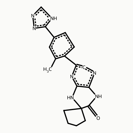 Cc1cc(-c2nnc[nH]2)ccc1-c1cnc2c(n1)NC1(CCCC1)C(=O)N2